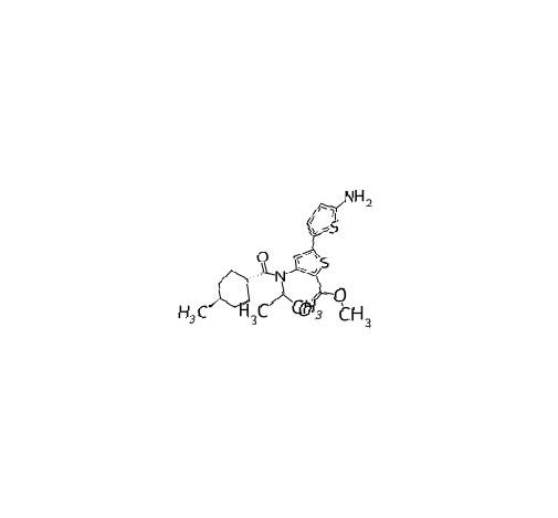 COC(=O)c1sc(-c2ccc(N)s2)cc1N(C(=O)[C@H]1CC[C@H](C)CC1)C(C)C